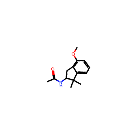 COc1cccc2c1CC(NC(C)=O)C2(C)C